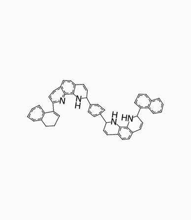 C1=CC(c2ccc(C3C=Cc4ccc5ccc(C6=CCCc7ccccc76)nc5c4N3)cc2)Nc2c1ccc1c2NC(c2cccc3ccccc23)C=C1